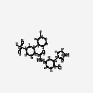 Cc1cccc(-c2cc(S(C)(=O)=O)ccc2C(=O)Nc2ccc(Cl)c(-c3cc[nH]n3)c2)c1